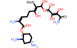 CC[C@@H](N)/C(O)=C(\O)[C@H](O)OC(O)/C(NC)=C(\O)CC/C=C(/N)[C@H](O)O[C@H]1CC[C@H](N)CC1N